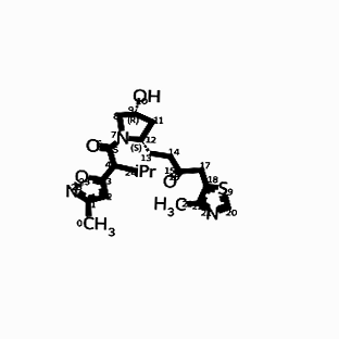 Cc1cc(C(C(=O)N2C[C@H](O)C[C@@H]2CCC(=O)Cc2scnc2C)C(C)C)on1